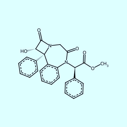 COC(=O)[C@@H](c1ccccc1)N1C(=O)CN2C(=O)[C@@H](O)[C@]2(c2ccccc2)c2ccccc21